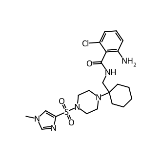 Cn1cnc(S(=O)(=O)N2CCN(C3(CNC(=O)c4c(N)cccc4Cl)CCCCC3)CC2)c1